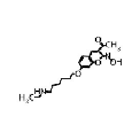 CCNCCCCCCOc1ccc2cc(C(C)=O)c(=NO)oc2c1